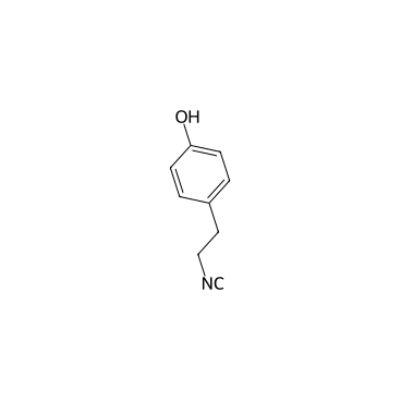 [C-]#[N+]CCc1ccc(O)cc1